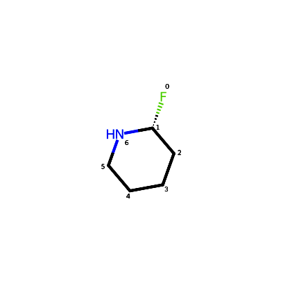 F[C@@H]1CCCCN1